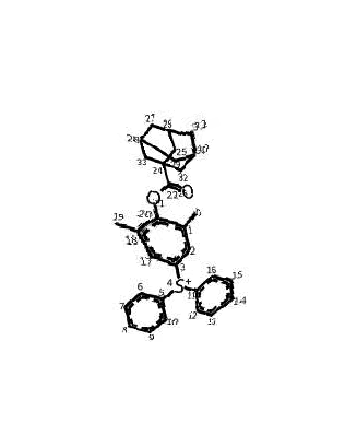 Cc1cc([S+](c2ccccc2)c2ccccc2)cc(C)c1OC(=O)C12CC3CC(CC(C3)C1)C2